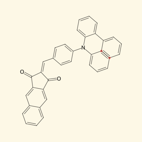 O=C1C(=Cc2ccc(N(c3ccccc3)c3ccccc3-c3ccccc3)cc2)C(=O)c2cc3ccccc3cc21